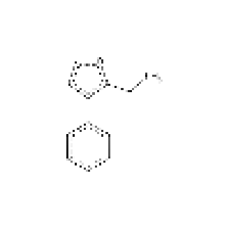 CCc1occc1-c1ccccc1